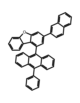 c1ccc(-c2c3ccccc3c(-c3cc(-c4ccc5ccccc5c4)cc4oc5ccccc5c34)c3ccccc23)cc1